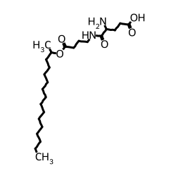 CCCCCCCCCCCCCCC(C)OC(=O)CCCNC(=O)C(N)CCC(=O)O